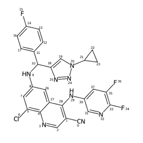 N#Cc1cnc2c(Cl)cc(NC(c3ccc(F)cc3)c3cn(C4CC4)nn3)cc2c1Nc1cnc(F)c(F)c1